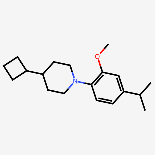 COc1cc(C(C)C)ccc1N1CCC(C2CCC2)CC1